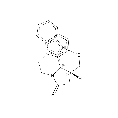 O=C1C[C@H]2COc3ccccc3[C@]23c2[nH]c4ccccc4c2CCN13